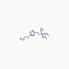 CCOc1cn(CCC(C)(C)C)nn1